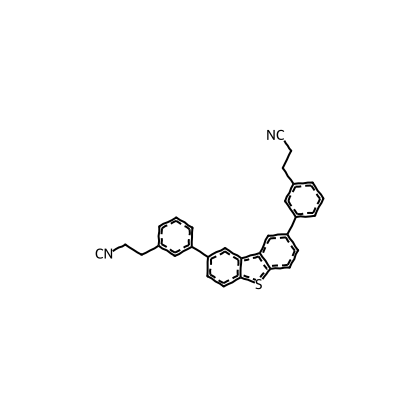 [C-]#[N+]CCc1cccc(-c2ccc3sc4ccc(-c5cccc(CCC#N)c5)cc4c3c2)c1